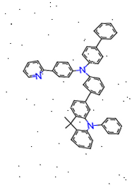 CC1(C)c2ccccc2N(c2ccccc2)c2cc(-c3cccc(N(c4ccc(-c5ccccc5)cc4)c4ccc(-c5ccccn5)cc4)c3)ccc21